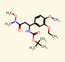 CCOc1cc(C(CC(=O)N(C)OC)NC(=O)OC(C)(C)C)ccc1OC